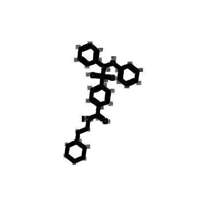 O=C(NCCN1CCCCC1)c1ccc(S(=O)(=O)N(Oc2ccccc2)c2ccccc2)cc1